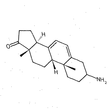 C[C@]12CCC(N)CC1=CC=C1[C@H]2CC[C@]2(C)C(=O)CC[C@@H]12